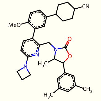 COc1ccc(C2CCC(C#N)CC2)cc1-c1ccc(N2CCC2)nc1CN1C(=O)OC(c2cc(C)cc(C)c2)C1C